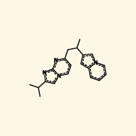 CC(C)c1cn2ccc(CC(C)c3cc4ccccn4c3)nc2n1